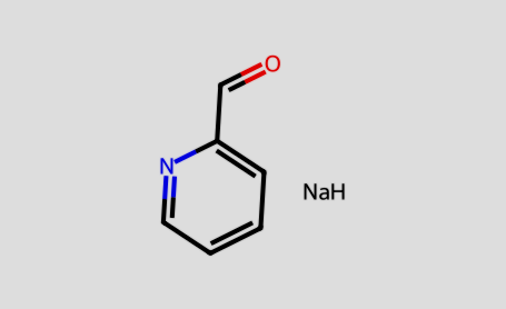 O=Cc1ccccn1.[NaH]